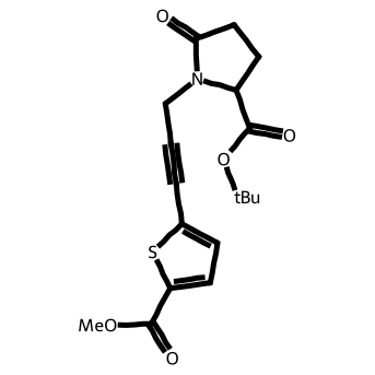 COC(=O)c1ccc(C#CCN2C(=O)CCC2C(=O)OC(C)(C)C)s1